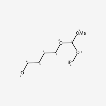 COC(OCCCC[O])OC(C)C